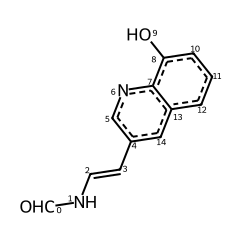 O=CNC=Cc1cnc2c(O)cccc2c1